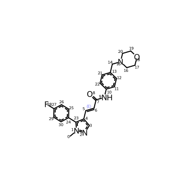 Cn1ncc(/C=C/C(=O)Nc2ccc(CN3CCOCC3)cc2)c1-c1ccc(F)cc1